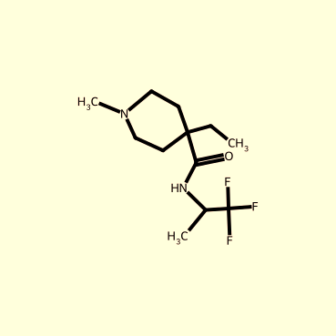 CCC1(C(=O)NC(C)C(F)(F)F)CCN(C)CC1